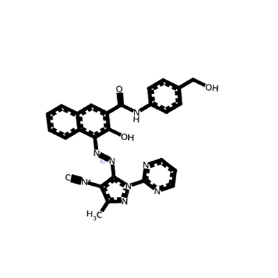 [C-]#[N+]c1c(C)nn(-c2ncccn2)c1/N=N/c1c(O)c(C(=O)Nc2ccc(CO)cc2)cc2ccccc12